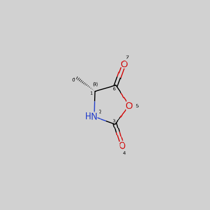 C[C@H]1NC(=O)OC1=O